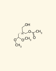 COC(C[C@H](CO)COC(C)=O)OC